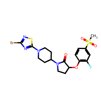 CS(=O)(=O)c1ccc(OC2CCN(C3CCN(c4nc(Br)ns4)CC3)C2=O)c(F)c1